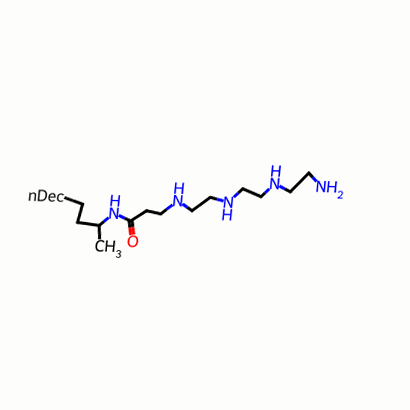 CCCCCCCCCCCCC(C)NC(=O)CCNCCNCCNCCN